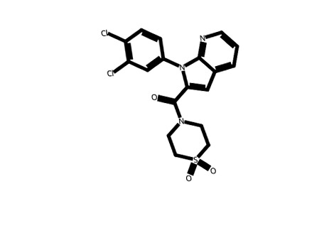 O=C(c1cc2cccnc2n1-c1ccc(Cl)c(Cl)c1)N1CCS(=O)(=O)CC1